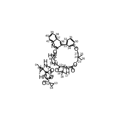 C[C@@H]1C[C@]1(NC(=O)[C@@H]1C[C@@H]2CN1C(=O)[C@H](C(C)(C)C)NC(=O)OCC(C)(C)COc1cccc(c1)-c1cc3ccccc3nc1O2)C(=O)NS(=O)(=O)C1CC1